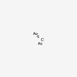 [As].[Au].[C].[S]